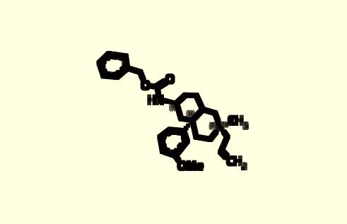 C=CC[N@@+]1(C)CC[C@@]2(c3cccc(OC)c3)C[C@@H](NC(=O)OCc3ccccc3)CCC2C1